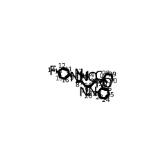 CC1(n2c(=O)c3c(-c4cn(-c5ccc(F)cc5)nn4)ncn3c3ccccc32)CCCO1